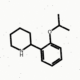 CC(C)Oc1ccccc1C1CCCCN1